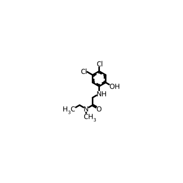 CCN(C)C(=O)CNc1cc(Cl)c(Cl)cc1O